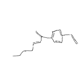 C=Cc1ccc(C(=C)C=CCCCC)cc1